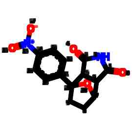 O=C1NC(=O)C2C1C1CCC2(c2ccc([N+](=O)[O-])cc2)O1